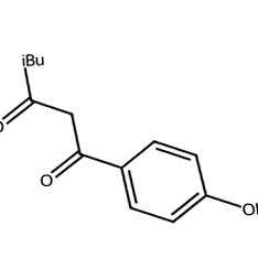 CCC(C)C(=O)CC(=O)c1ccc(O)cc1